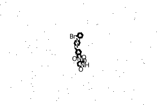 O=C1CCC(N2C(=O)c3ccc(CN4CCN(c5ccccc5Br)CC4)cc3C2=O)C(=O)N1